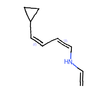 C=CN/C=C\C=C/C1CC1